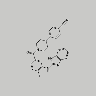 Cc1ccc(C(=O)N2CCC(c3ccc(C#N)cc3)CC2)cc1Nc1nc2cnccc2[nH]1